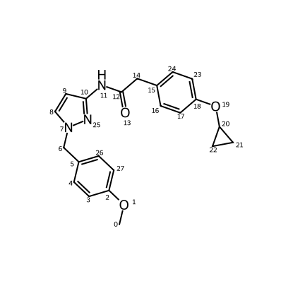 COc1ccc(Cn2ccc(NC(=O)Cc3ccc(OC4CC4)cc3)n2)cc1